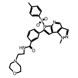 Cc1ccc(S(=O)(=O)n2c(-c3cccc(C(=O)NCCN4CCOCC4)c3)cc3c4c(cnc32)cnn4C)cc1